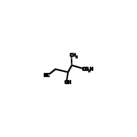 CC(C(=O)O)C(O)CC#N